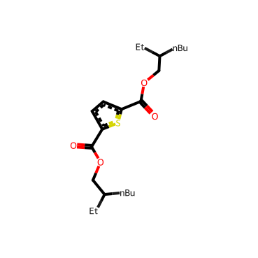 CCCCC(CC)COC(=O)c1ccc(C(=O)OCC(CC)CCCC)s1